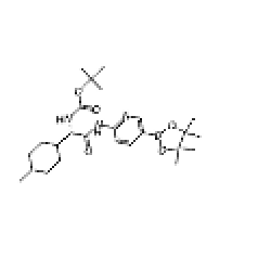 CC1CCC([C@H](NC(=O)OC(C)(C)C)C(=O)Nc2ccc(B3OC(C)(C)C(C)(C)O3)cn2)CC1